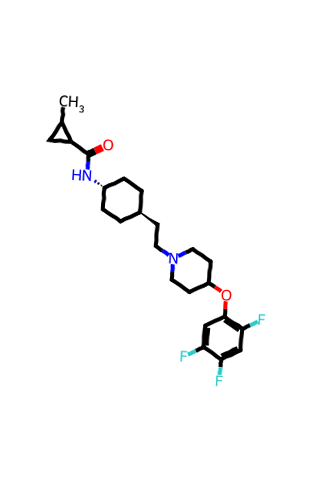 CC1CC1C(=O)N[C@H]1CC[C@H](CCN2CCC(Oc3cc(F)c(F)cc3F)CC2)CC1